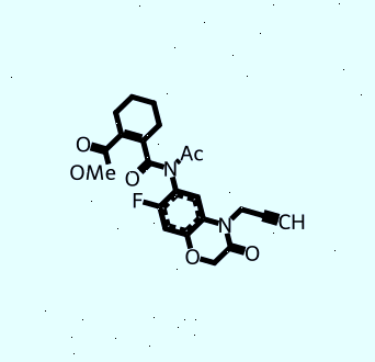 C#CCN1C(=O)COc2cc(F)c(N(C(C)=O)C(=O)C3=C(C(=O)OC)CCCC3)cc21